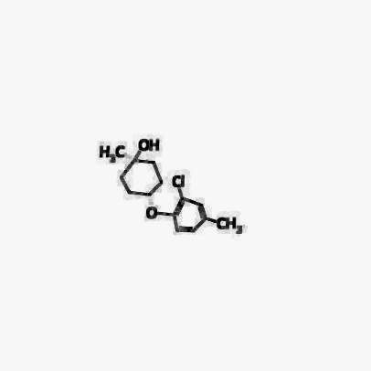 Cc1ccc(O[C@H]2CC[C@](C)(O)CC2)c(Cl)c1